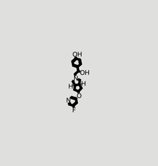 Oc1ccc(C(O)CN2C[C@H]3CC(Oc4cncc(F)c4)C[C@H]3C2)cc1